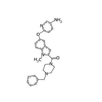 Cn1c(C(=O)N2CCN(Cc3ccccc3)CC2)cc2cc(Oc3ccc(N)cn3)ccc21